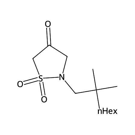 CCCCCCC(C)(C)CN1CC(=O)CS1(=O)=O